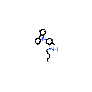 CC/C=C\C=C/C(=N)c1cc(-n2c3ccccc3c3ccccc32)ccc1C